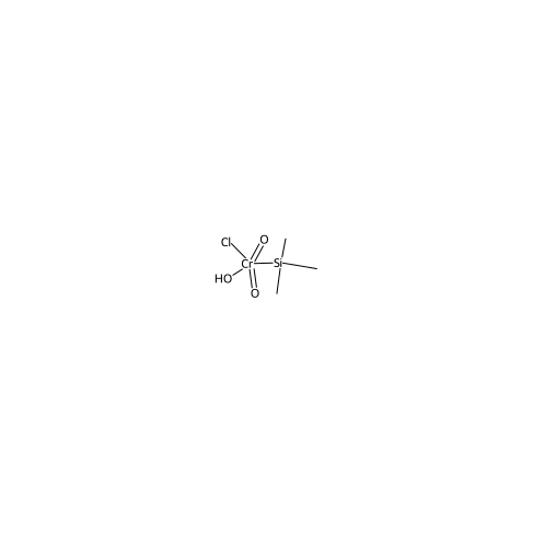 C[Si](C)(C)[Cr](=[O])(=[O])([OH])[Cl]